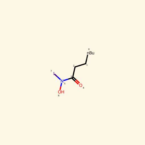 CCCCCCC(=O)N(O)I